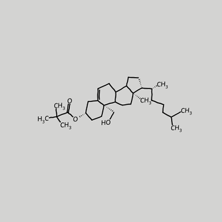 CC(C)CCC[C@@H](C)[C@H]1CCC2C3CC=C4C[C@@H](OC(=O)C(C)(C)C)CC[C@]4(CO)C3CC[C@@]21C